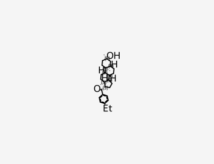 CCc1ccc(C(=O)[C@H]2CC[C@H]3[C@@H]4CC[C@@H]5C[C@](C)(O)CC[C@]5(C)[C@H]4CC[C@]23C)cc1